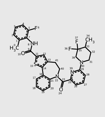 Cc1cccc(F)c1NC(=O)c1cc2c(s1)-c1ccccc1N(C(=O)c1cccc(N3CCC(C)C(F)(F)C3)n1)CC2